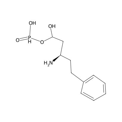 N[C@H](CCc1ccccc1)CC(O)O[PH](=O)O